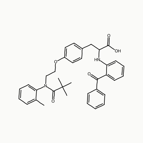 Cc1ccccc1N(CCOc1ccc(CC(Nc2ccccc2C(=O)c2ccccc2)C(=O)O)cc1)C(=O)C(C)(C)C